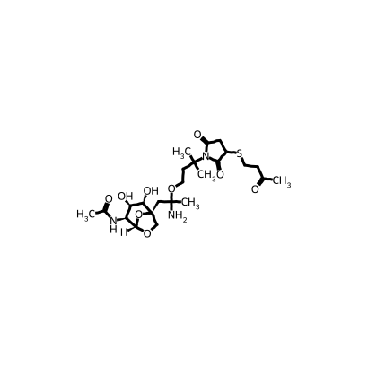 CC(=O)CCSC1CC(=O)N(C(C)(C)CCOC(C)(N)C[C@@]23CO[C@@H](O2)[C@@H](NC(C)=O)[C@@H](O)[C@H]3O)C1=O